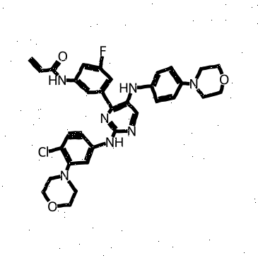 C=CC(=O)Nc1cc(F)cc(-c2nc(Nc3c#cc(Cl)c(N4CCOCC4)c3)ncc2Nc2ccc(N3CCOCC3)cc2)c1